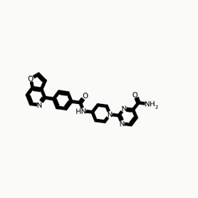 NC(=O)c1ccnc(N2CCC(NC(=O)c3ccc(-c4nccc5occc45)cc3)CC2)n1